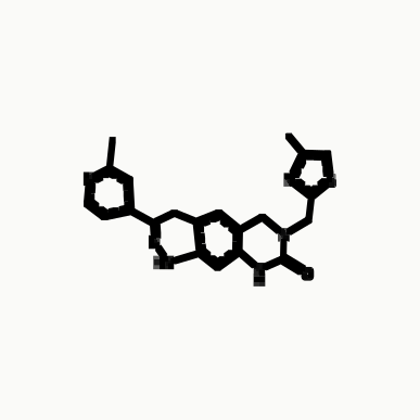 Cc1cc(C2=NNc3cc4c(cc3C2)CN(Cc2nc(C)cs2)C(=O)N4)ccn1